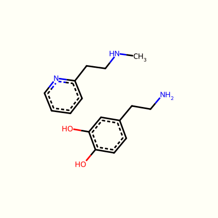 CNCCc1ccccn1.NCCc1ccc(O)c(O)c1